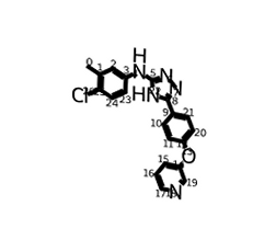 Cc1cc(Nc2nnc(-c3ccc(Oc4cccnc4)cc3)[nH]2)ccc1Cl